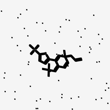 C=CCC1(C)C=CC(=C[Si](C)(C)C)C(c2ccc([Si](C)(C)C)s2)=C1